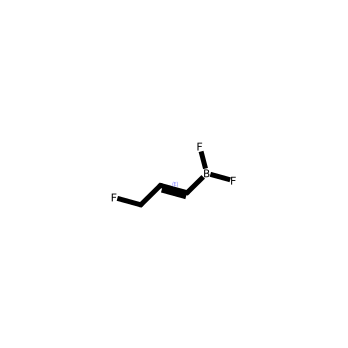 FC/C=C/B(F)F